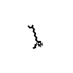 CCCn1nncc1CCCCCCC(C)CC